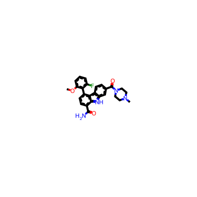 COc1cccc(F)c1-c1ccc(C(N)=O)c2[nH]c3cc(C(=O)N4CCN(C)CC4)ccc3c12